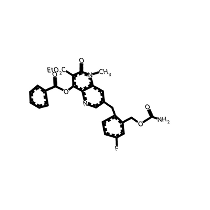 CCOC(=O)c1c(OC(=O)c2ccccc2)c2ncc(Cc3ccc(F)cc3COC(N)=O)cc2n(C)c1=O